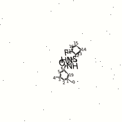 Cc1cc(C)cc(C(=O)NNSc2ccccc2F)c1